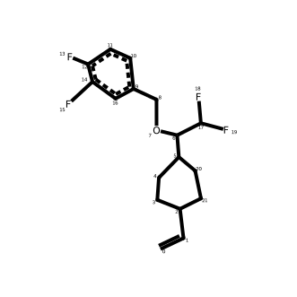 C=CC1CCC(C(OCc2ccc(F)c(F)c2)C(F)F)CC1